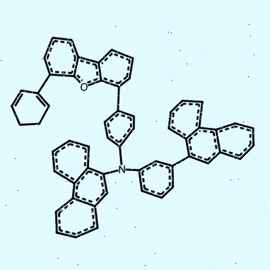 C1=CC(c2cccc3c2oc2c(-c4ccc(N(c5cccc(-c6cc7ccccc7c7ccccc67)c5)c5cc6ccccc6c6ccccc56)cc4)cccc23)=CCC1